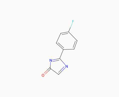 O=C1C=NC(c2ccc(F)cc2)=N1